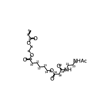 C=CC(=O)OCCOC(=O)CCCCCOC(=O)CC(=O)NCCNC(C)=O